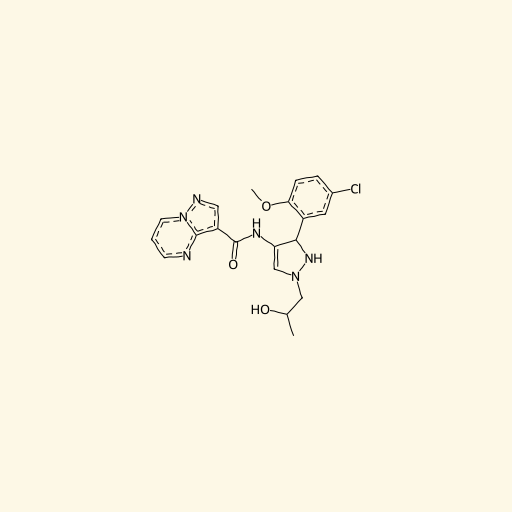 COc1ccc(Cl)cc1C1NN(CC(C)O)C=C1NC(=O)c1cnn2cccnc12